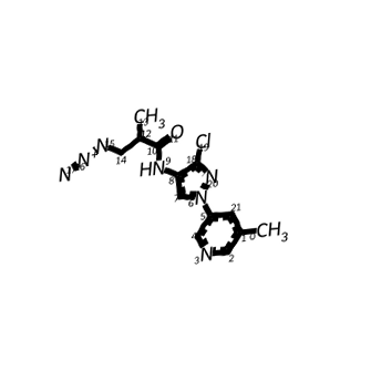 Cc1cncc(-n2cc(NC(=O)C(C)CN=[N+]=[N-])c(Cl)n2)c1